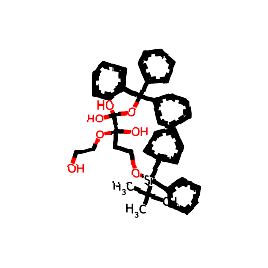 CC(C)(C)[Si](OCCC(O)(OCCO)C(O)(O)OC(c1ccccc1)(c1ccccc1)c1ccccc1)(c1ccccc1)c1ccccc1